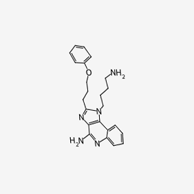 NCCCCn1c(CCCOc2ccccc2)nc2c(N)nc3ccccc3c21